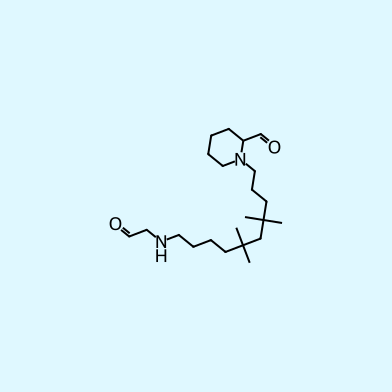 CC(C)(CCCCNCC=O)CC(C)(C)CCCN1CCCCC1C=O